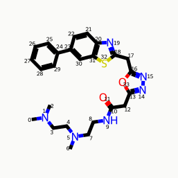 CN(C)CCN(C)CCNC(=O)Cc1nnc(Cc2nc3ccc(-c4ccccc4)cc3s2)o1